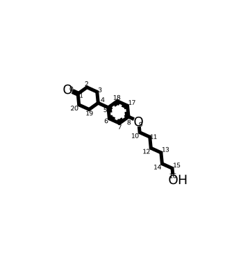 O=C1CCC(c2ccc(OCCCCCCO)cc2)CC1